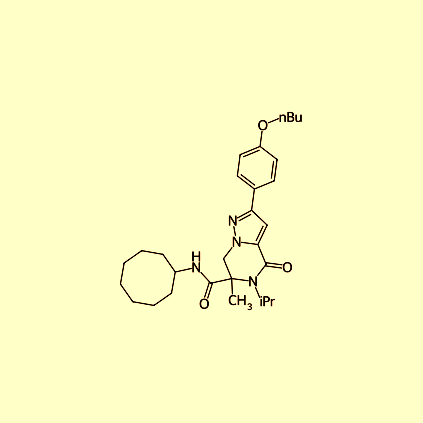 CCCCOc1ccc(-c2cc3n(n2)CC(C)(C(=O)NC2CCCCCCC2)N(C(C)C)C3=O)cc1